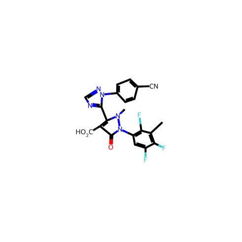 Cc1c(F)c(F)cc(-n2c(=O)c(C(=O)O)c(-c3ncnn3-c3ccc(C#N)cc3)n2C)c1F